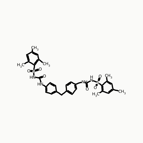 Cc1cc(C)c(S(=O)(=O)NC(=O)Nc2ccc(Cc3ccc(NC(=O)NS(=O)(=O)c4c(C)cc(C)cc4C)cc3)cc2)c(C)c1